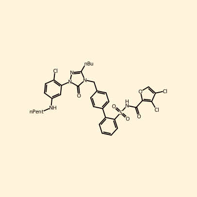 CCCCCNc1ccc(Cl)c(-n2nc(CCCC)n(Cc3ccc(-c4ccccc4S(=O)(=O)NC(=O)c4occ(Cl)c4Cl)cc3)c2=O)c1